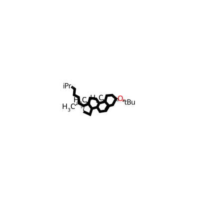 CC(C)CCC[C@@H](C)[C@H]1CCC2C3CC=C4C[C@@H](OC(C)(C)C)CC[C@]4(C)C3CC[C@@]21C